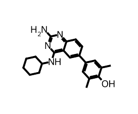 Cc1cc(-c2ccc3nc(N)nc(NC4CCCCC4)c3c2)cc(C)c1O